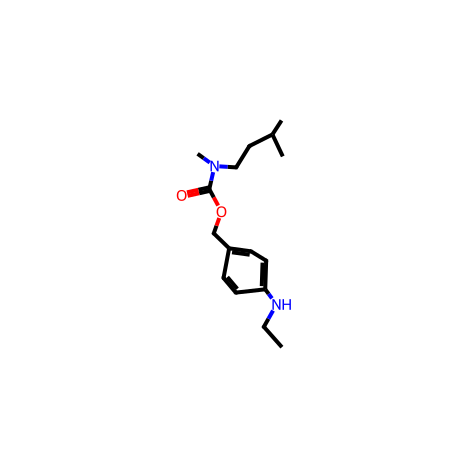 CCNc1ccc(COC(=O)N(C)CCC(C)C)cc1